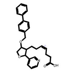 O=C(O)CC/C=C\CCC1C(OCc2ccc(-c3ccccc3)cc2)COC1c1cccnc1